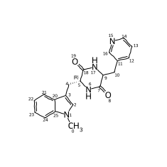 Cn1cc(C[C@H]2NC(=O)C(Cc3cccnc3)NC2=O)c2ccccc21